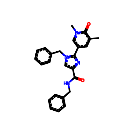 Cc1cc(-c2nc(C(=O)NCc3ccccc3)cn2Cc2ccccc2)cn(C)c1=O